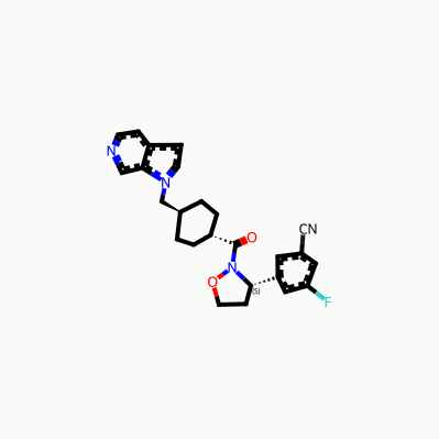 N#Cc1cc(F)cc([C@@H]2CCON2C(=O)[C@H]2CC[C@H](Cn3ccc4ccncc43)CC2)c1